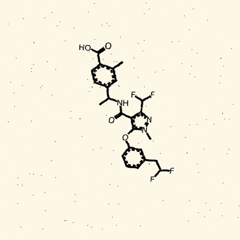 Cc1cc(C(C)NC(=O)c2c(C(F)F)nn(C)c2Oc2cccc(CC(F)F)c2)ccc1C(=O)O